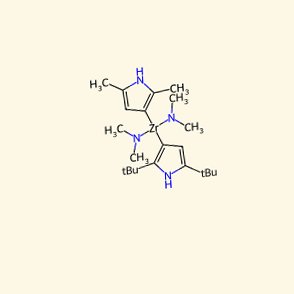 Cc1c[c]([Zr]([c]2cc(C(C)(C)C)[nH]c2C(C)(C)C)([N](C)C)[N](C)C)c(C)[nH]1